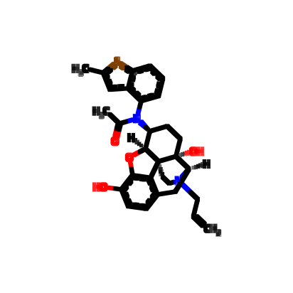 C=CCN1CC[C@]23c4c5ccc(O)c4O[C@H]2[C@@H](N(C(C)=O)c2cccc4sc(C)cc24)CC[C@@]3(O)[C@H]1C5